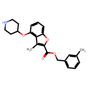 Cc1cccc(COC(=O)c2oc3cccc(OC4CCNCC4)c3c2C)c1